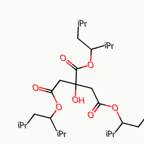 CC(C)CC(OC(=O)CC(O)(CC(=O)OC(CC(C)C)C(C)C)C(=O)OC(CC(C)C)C(C)C)C(C)C